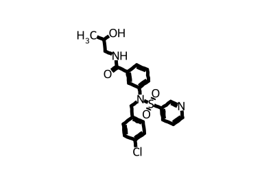 CC(O)CNC(=O)c1cccc(N(Cc2ccc(Cl)cc2)S(=O)(=O)c2cccnc2)c1